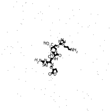 NCCCn1nnnc1SCC1(C(=O)O)CS[C@@H]2C(NC(=O)C(=NOC3CCOC3=O)c3nsc(N)n3)C(=O)N2C1